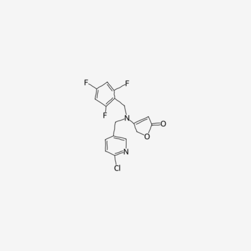 O=C1C=C(N(Cc2ccc(Cl)nc2)Cc2c(F)cc(F)cc2F)CO1